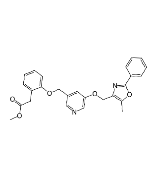 COC(=O)Cc1ccccc1OCc1cncc(OCc2nc(-c3ccccc3)oc2C)c1